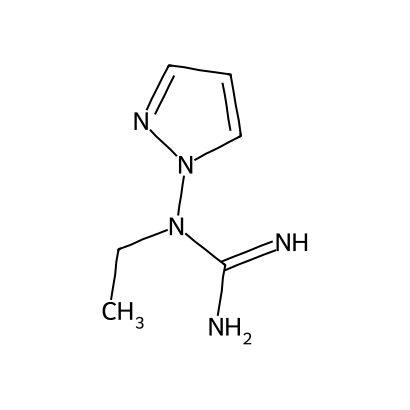 CCN(C(=N)N)n1cccn1